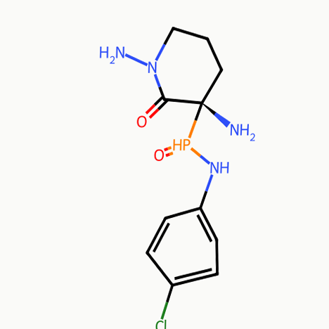 NN1CCC[C@](N)([PH](=O)Nc2ccc(Cl)cc2)C1=O